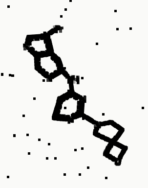 CC(C)n1cnc2cnc(Nc3ccnc(N4CCC5(COC5)C4)n3)cc21